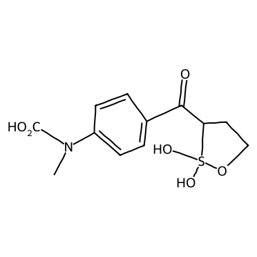 CN(C(=O)O)c1ccc(C(=O)C2CCOS2(O)O)cc1